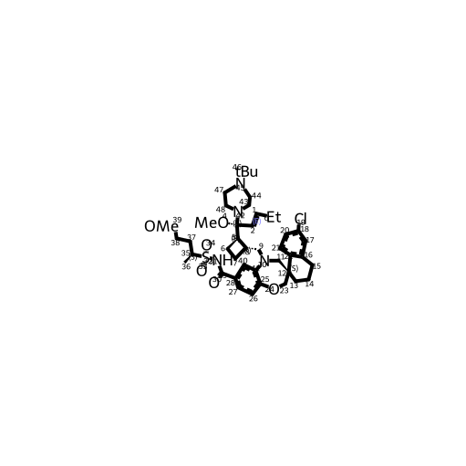 CC/C=C/[C@@](OC)([C@@H]1CC[C@H]1CN1C[C@@]2(CCCc3cc(Cl)ccc32)COc2ccc(C(=O)NS(=O)(=O)[C@@H](C)CCOC)cc21)N1CCN(C(C)(C)C)CC1